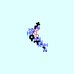 Cc1cc(F)c(NC(=O)Nc2cc(C(C)(C)C)no2)cc1-n1c(C)c2cnc(NCCN(C)C)nc2nc1=O